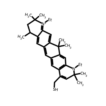 CCN1c2cc3c(cc2C(CS)=CC1(C)C)C=c1cc2c(cc1C3(C)C)=[N+](CC)C(C)(C)CC2C